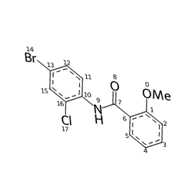 COc1ccccc1C(=O)Nc1ccc(Br)cc1Cl